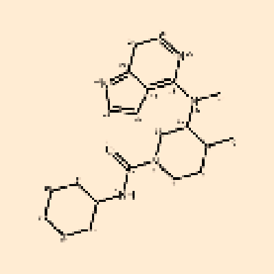 CC1CCN(C(=O)NC2CCCCC2)CC1N(C)C1=C2C=CN=C2CC=N1